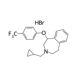 Br.FC(F)(F)c1ccc(OC2CN(CC3CC3)CCc3ccccc32)cc1